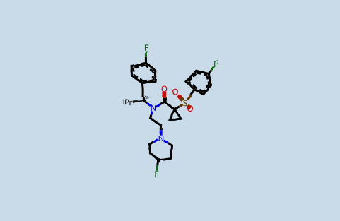 CC(C)[C@@H](c1ccc(F)cc1)N(CCN1CCC(F)CC1)C(=O)C1(S(=O)(=O)c2ccc(F)cc2)CC1